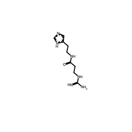 N=C(N)NCCC(=O)NCCc1cnc[nH]1